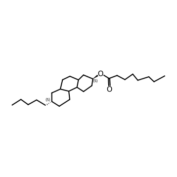 CCCCCCCC(=O)O[C@H]1CCC2C(CCC3C[C@@H](CCCCC)CCC32)C1